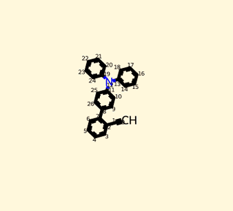 C#Cc1ccccc1-c1ccc(N(c2ccccc2)c2ccccc2)cc1